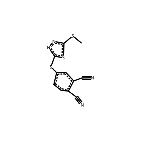 CSc1nnc(Sc2ccc(C#N)c(C#N)c2)s1